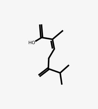 C=C(O)/C(C)=C\CC(=C)C(C)C